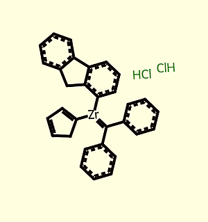 C1=CC[C]([Zr](=[C](c2ccccc2)c2ccccc2)[c]2cccc3c2Cc2ccccc2-3)=C1.Cl.Cl